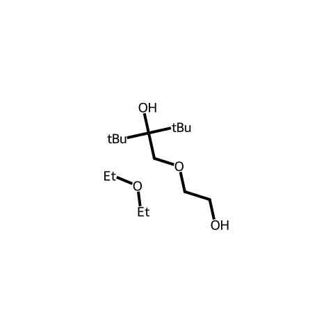 CC(C)(C)C(O)(COCCO)C(C)(C)C.CCOCC